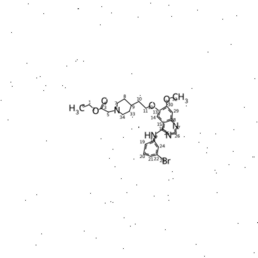 CCOC(=O)CN1CCC(CCOc2cc3c(Nc4cccc(Br)c4)ncnc3cc2OC)CC1